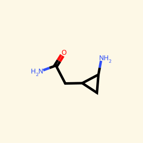 NC(=O)CC1CC1N